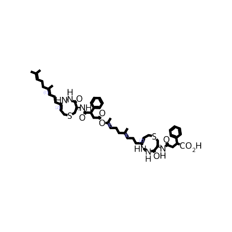 CC(C)=CCC/C(C)=C/CC/C1=C/CSC[C@H](NC(=O)C(CC(=O)O/C(C)=C/CC/C(C)=C/CC/C2=C/CSC[C@H](NC(=O)CC(C(=O)O)c3ccccc3)C(=O)NN2)c2ccccc2)C(=O)NN1